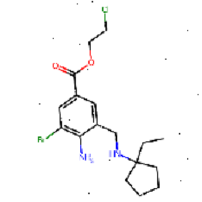 CCC1(NCc2cc(C(=O)OCCCl)cc(Br)c2N)CCCC1